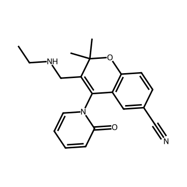 CCNCC1=C(n2ccccc2=O)c2cc(C#N)ccc2OC1(C)C